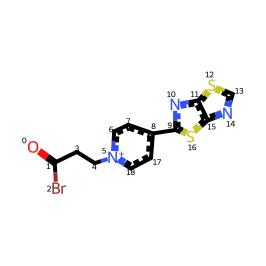 O=C(Br)CC[n+]1ccc(-c2nc3scnc3s2)cc1